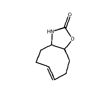 O=C1NC2CC/C=C/CCC2O1